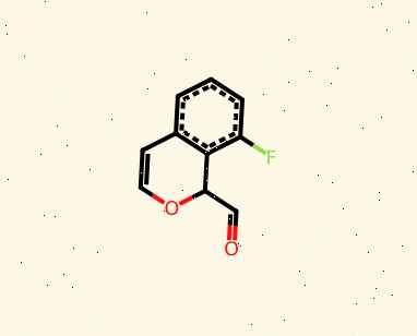 O=CC1OC=Cc2cccc(F)c21